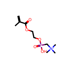 C=C(C)C(=O)OCCOP(=O)(O)C[N+](C)(C)C